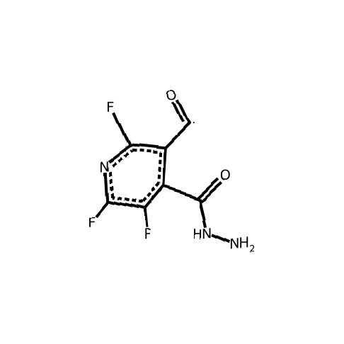 NNC(=O)c1c(F)c(F)nc(F)c1[C]=O